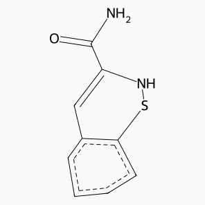 NC(=O)C1=Cc2ccccc2SN1